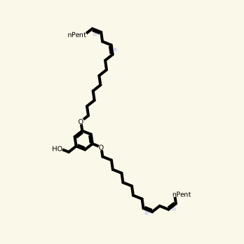 CCCCC/C=C\C/C=C\CCCCCCCCOc1cc(CO)cc(OCCCCCCCC/C=C\C/C=C\CCCCC)c1